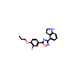 CCCOc1ccc(-c2nc(-c3cccc4c3CCN4)no2)cc1I